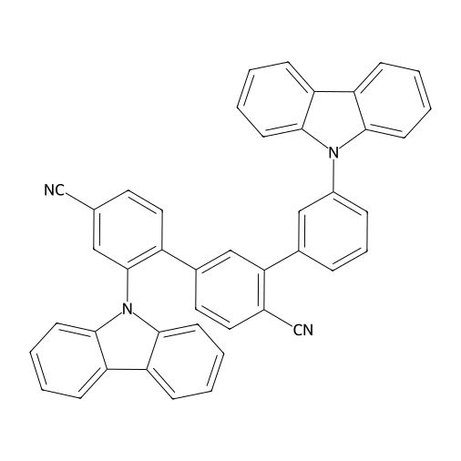 N#Cc1ccc(-c2ccc(C#N)c(-c3cccc(-n4c5ccccc5c5ccccc54)c3)c2)c(-n2c3ccccc3c3ccccc32)c1